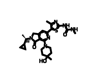 CNC(=O)Nc1nc(C)c(-c2cc3c(c(N4CCC(C)(O)CC4)n2)C(=O)N([C@@H](C)C2CC2)C3)s1